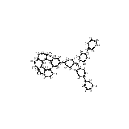 c1ccc(-c2ccc(N(c3ccc(-c4ccccc4)cc3)c3ccc(-c4ccc5c(c4)oc4ccc6ccc7oc8ccccc8c7c6c45)cc3)cc2)cc1